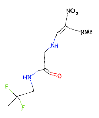 CN/C(=C\NCC(=O)NCC(C)(F)F)[N+](=O)[O-]